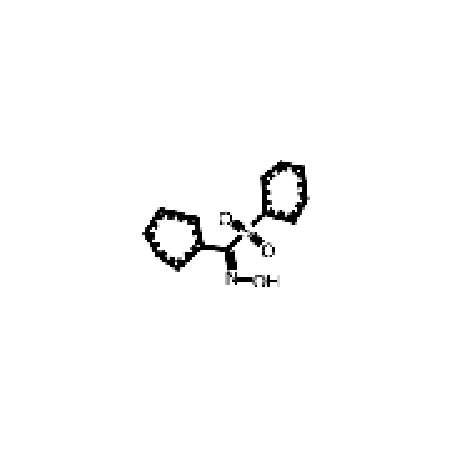 O=S(=O)(C(=NO)c1ccccc1)c1ccccc1